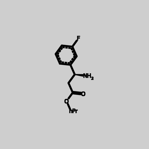 CCCOC(=O)C[C@H](N)c1cccc(F)c1